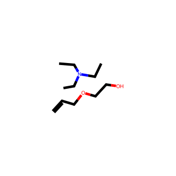 C=CCOCCO.CCN(CC)CC